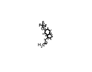 [CH2]OCc1csc2ccc(OC(F)(F)F)cc12